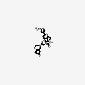 Cn1cc(-c2ccc3c(n2)CC[C@@]32NC(=O)N(CC(=O)N3CCOc4ccc(F)cc4C3)C2=O)cn1